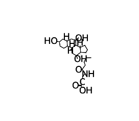 CC(CCC(=O)NCCC(=O)O)[C@H]1CC[C@H]2[C@@H]3[C@H](O)C[C@@H]4C[C@H](O)CC[C@]4(C)[C@H]3C[C@H](O)[C@]12C